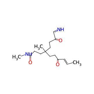 C/C=C/C(=O)CCC(C)(CCC(=O)C=N)CCC(=O)NC